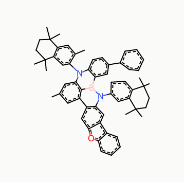 Cc1cc2c3c(c1)N(c1cc4c(cc1C)C(C)(C)CCC4(C)C)c1ccc(-c4ccccc4)cc1B3N(c1ccc3c(c1)C(C)(C)CCC3(C)C)c1cc3c(cc1-2)oc1ccccc13